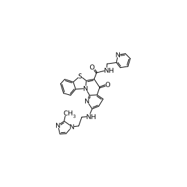 Cc1nccn1CCNc1ccc2c(=O)c(C(=O)NCc3ccccn3)c3sc4ccccc4n3c2n1